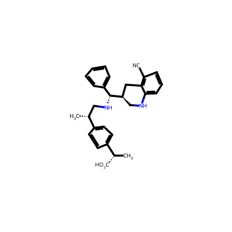 C[C@H](CN[C@H](c1ccccc1)[C@@H]1CNc2cccc(C#N)c2C1)c1ccc([C@H](C)C(=O)O)cc1